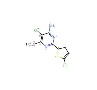 Nc1nc(C2CC=C(Cl)S2)nc(C(=O)O)c1Cl